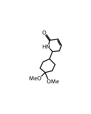 COC1(OC)CCC(C2CC=CC(=O)N2)CC1